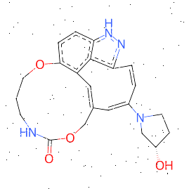 O=C1NCCCOc2ccc3[nH]nc4c3c2C=C(C=C(N2CC[C@H](O)C2)C=C4)CO1